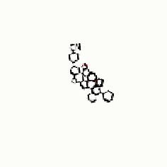 N#CC1C=CC(C2C=C3C(=CC2)OC2C=CC(c4c5c(c(C6C=CC=CC6)c6ccccc46)CCC=C5)=CC2C32C3=C(C=CCC3)c3ccccc32)CC1